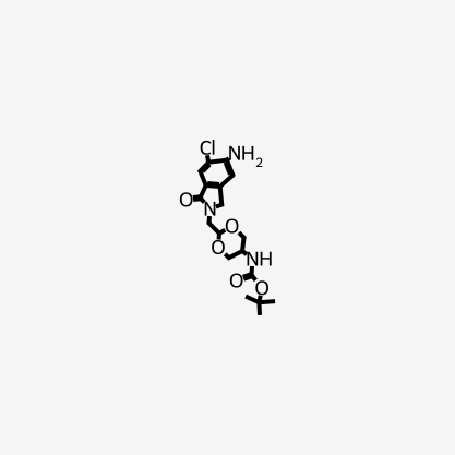 CC(C)(C)OC(=O)NC1COC(CN2Cc3cc(N)c(Cl)cc3C2=O)OC1